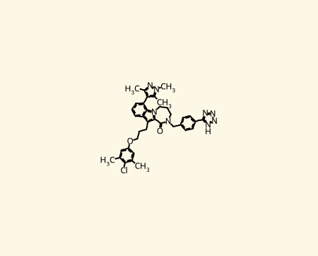 Cc1cc(OCCCc2c3n(c4c(-c5c(C)nn(C)c5C)cccc24)CCCN(Cc2ccc(-c4nnn[nH]4)cc2)C3=O)cc(C)c1Cl